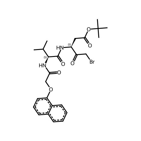 CC(C)[C@H](NC(=O)COc1cccc2ccccc12)C(=O)N[C@@H](CC(=O)OC(C)(C)C)C(=O)CBr